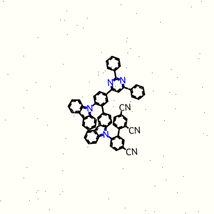 N#Cc1ccc(-c2cc(C#N)ccc2-n2c3ccccc3c3cc(-c4cc(-c5cc(-c6ccccc6)nc(-c6ccccc6)n5)ccc4-n4c5ccccc5c5ccccc54)ccc32)c(C#N)c1